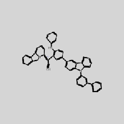 C#C/C(=C1/C=CC=C2c3ccccc3CN21)c1cc(-c2ccc3c(c2)c2ccccc2n3-c2cccc(-c3ccccc3)c2)ccc1Nc1ccccc1